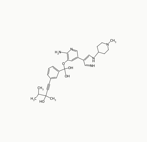 CC(C)C(C)(O)C#Cc1cccc(C(O)(O)Oc2cc(/C(C=N)=C/NC3CCN(C)CC3)cnc2N)c1